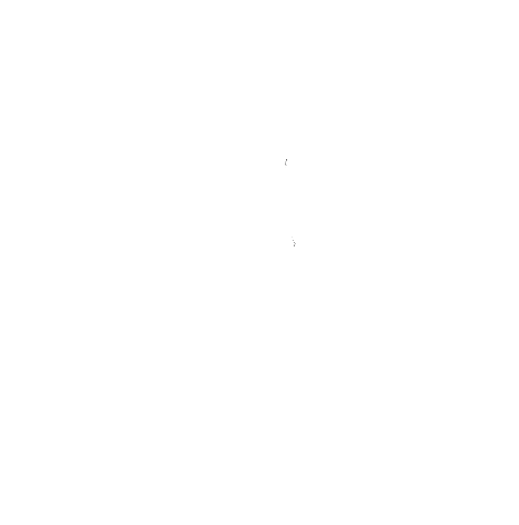 CCCCCCCc1ccc([C@H]2CC[C@H]([C@H]3CC[C@H](C=CC=C(F)C#N)CC3)CC2)cc1